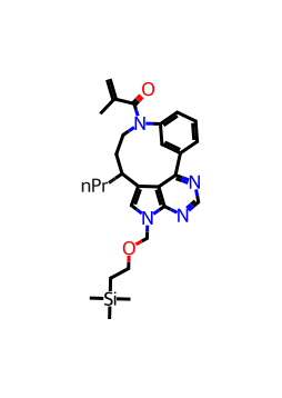 C=C(C)C(=O)N1CCC(CCC)c2cn(COCC[Si](C)(C)C)c3ncnc(c23)-c2cccc1c2